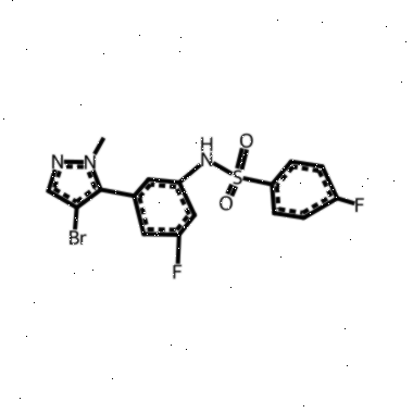 Cn1ncc(Br)c1-c1cc(F)cc(NS(=O)(=O)c2ccc(F)cc2)c1